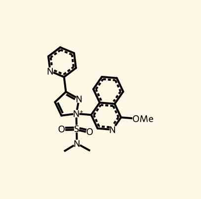 COc1ncc([N+]2(S(=O)(=O)N(C)C)C=CC(c3ccccn3)=N2)c2ccccc12